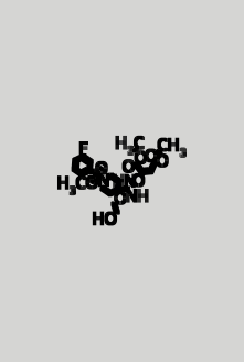 CCOC(=O)C(=CC1OC(C)O1)ONC(=N)C1(OCCO)CCN(S(=O)(=O)c2cc(F)ccc2C)CC1